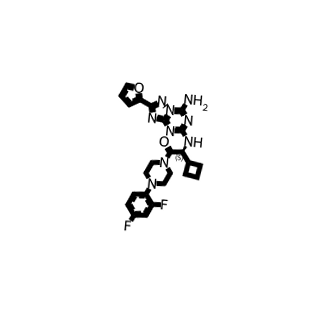 Nc1nc(N[C@H](C(=O)N2CCN(c3ccc(F)cc3F)CC2)C2CCC2)nc2nc(-c3ccco3)nn12